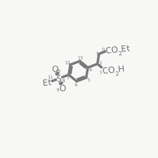 CCOC(=O)CC(C(=O)O)c1ccc(S(=O)(=O)CC)cc1